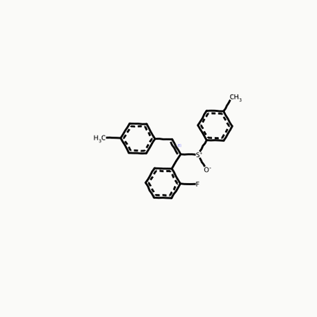 Cc1ccc(/C=C(\c2ccccc2F)[S+]([O-])c2ccc(C)cc2)cc1